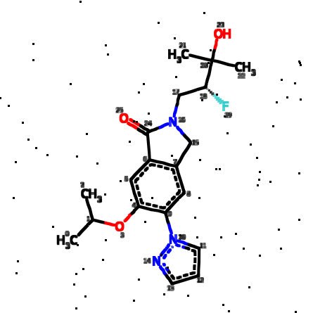 CC(C)Oc1cc2c(cc1-n1cccn1)CN(C[C@@H](F)C(C)(C)O)C2=O